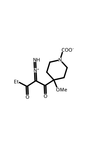 CCC(=O)C(=[N+]=N)C(=O)C1(OC)CCN(C(=O)[O-])CC1